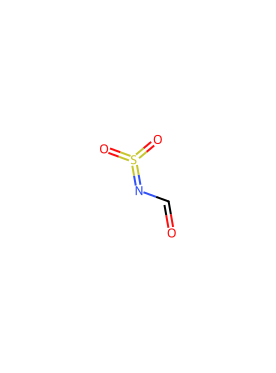 O=CN=S(=O)=O